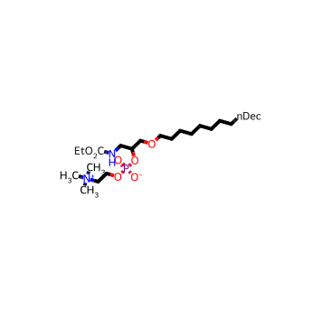 CCCCCCCCCCCCCCCCCCOCC(CNC(=O)OCC)OP(=O)([O-])OCC[N+](C)(C)C